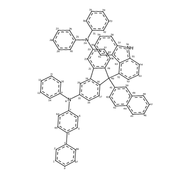 c1ccc(-c2ccc(N(c3ccccc3)c3ccc4c(c3)-c3cc(N(c5ccccc5)c5ccccc5)ccc3C4(c3ccc4ccccc4c3)c3cccc4[nH]c5ccccc5c34)cc2)cc1